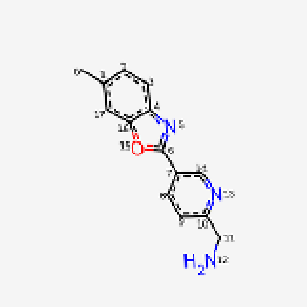 Cc1ccc2nc(-c3ccc(CN)nc3)oc2c1